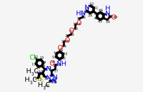 Cc1sc2c(c1C)C(c1ccc(Cl)cc1)=NC(CC(=O)Nc1ccc(OCCOCCOCCOCCNc3cc(-c4ccc5c(c4)NC(=O)C5)ccn3)cc1)c1nnc(C)n1-2